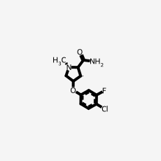 CN1CC(Oc2ccc(Cl)c(F)c2)[CH]C1C(N)=O